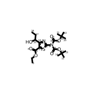 CCOC(=O)c1sc(N(C(=O)OC(C)(C)C)C(=O)OC(C)(C)C)nc1C(O)CC